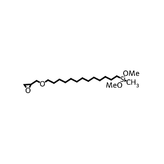 CO[Si](C)(CCCCCCCCCCCCCOCC1CO1)OC